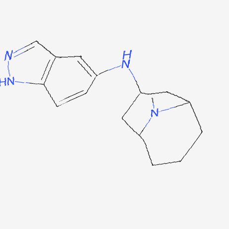 CN1C2CCCC1CC(Nc1ccc3[nH]ncc3c1)C2